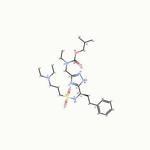 CCN(CC)CCCS(=O)(=O)N[C@H](CCc1ccccc1)c1nc(CN(CC)C(=O)OCC(C)C)n[nH]1